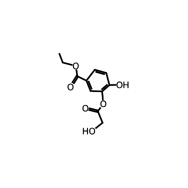 CCOC(=O)c1ccc(O)c(OC(=O)CO)c1